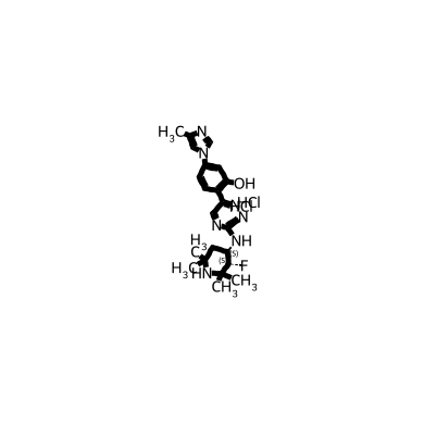 Cc1cn(-c2ccc(-c3cnc(N[C@H]4CC(C)(C)NC(C)(C)[C@H]4F)nn3)c(O)c2)cn1.Cl.Cl